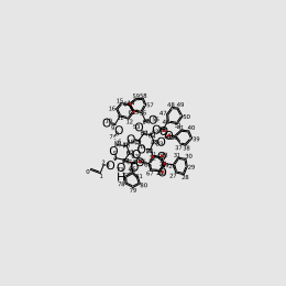 C=CCOC1O[C@H](COC(=O)c2ccccc2)[C@@H](O[C@@H]2O[C@H](COC(=O)c3ccccc3)[C@@H](OC(=O)c3ccccc3)[C@H](OC(=O)c3ccccc3)[C@H]2OC(=O)c2ccccc2)[C@H](OC(=O)c2ccccc2)[C@]1(O)C(=O)c1ccccc1